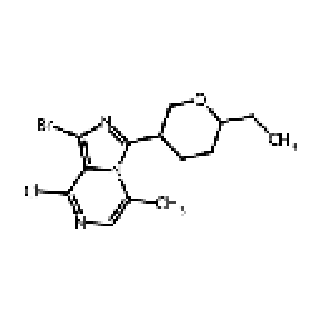 CCC1CCC(c2nc(Br)c3c(Cl)ncc(C)n23)CO1